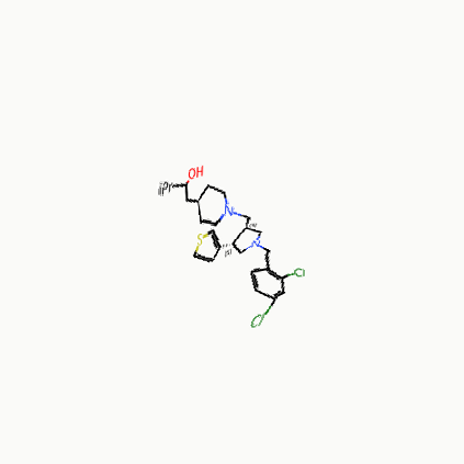 CC(C)C(O)CC1CCN(C[C@H]2CN(Cc3ccc(Cl)cc3Cl)C[C@@H]2c2ccsc2)CC1